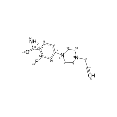 C#CCN1CCN(c2ccc(C(N)=O)c(F)c2)CC1